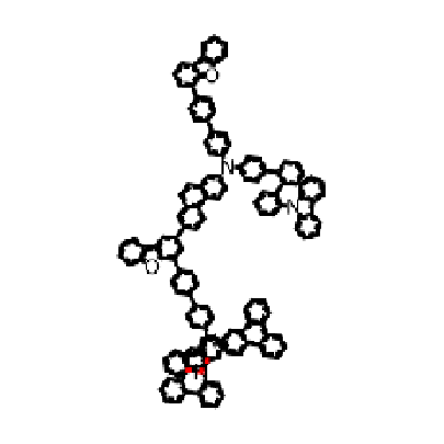 c1ccc(-c2ccccc2-n2c3ccccc3c3ccccc32)c(-c2ccc(N(c3ccc(-c4ccc(-c5cccc6c5oc5ccccc56)cc4)cc3)c3ccc4c(ccc5cc(-c6cc(-c7ccc(-c8ccc(N(c9ccc(-c%10ccccc%10-c%10ccccc%10-n%10c%11ccccc%11c%11ccccc%11%10)cc9)c9ccc%10c%11ccccc%11c%11ccccc%11c%10c9)cc8)cc7)c7oc8ccccc8c7c6)ccc54)c3)cc2)c1